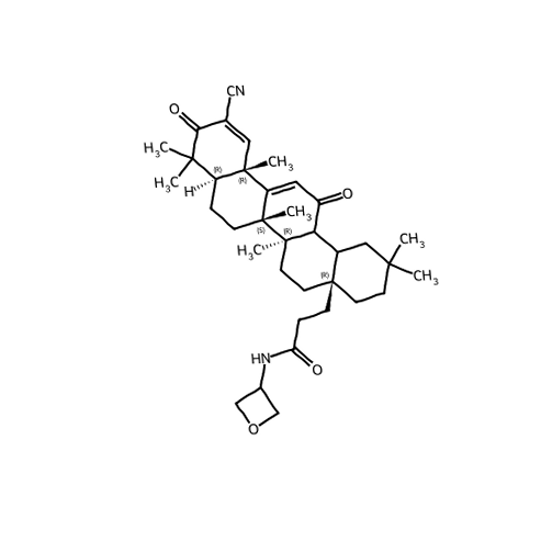 CC1(C)CC[C@]2(CCC(=O)NC3COC3)CC[C@]3(C)C(C(=O)C=C4[C@@]5(C)C=C(C#N)C(=O)C(C)(C)[C@@H]5CC[C@]43C)C2C1